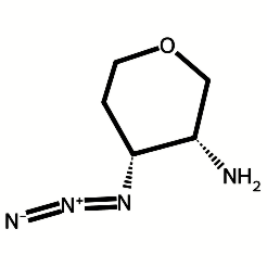 [N-]=[N+]=N[C@@H]1CCOC[C@@H]1N